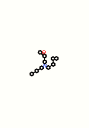 c1ccc(-c2ccc(-c3ccc(N(c4ccc(-c5ccc6oc7ccccc7c6c5)cc4)c4cccc(-c5cccc(-c6cccc7ccccc67)c5)c4)cc3)cc2)cc1